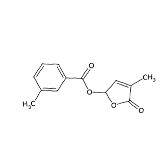 CC1=CC(OC(=O)c2cccc(C)c2)OC1=O